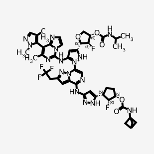 Cc1cnn(C)c1-c1c(C)nc(Nc2cc([C@@H]3OC[C@H](OC(=O)NC(C)C)[C@H]3F)[nH][n+]2-c2cnc(Nc3cc([C@@H]4CC[C@H](OC(=O)NC56CC(C5)C6)[C@@H]4F)[nH]n3)c3cc(CC(F)(F)F)nn23)n2ccnc12